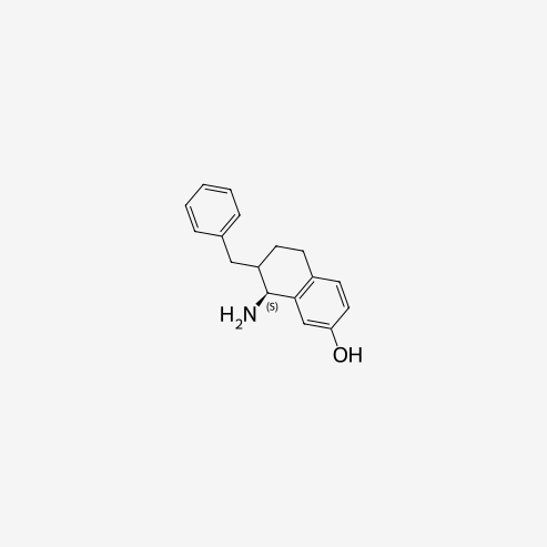 N[C@@H]1c2cc(O)ccc2CCC1Cc1ccccc1